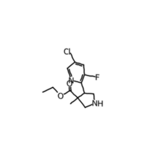 CCOC(=O)C1(C)CNCC1c1ncc(Cl)cc1F